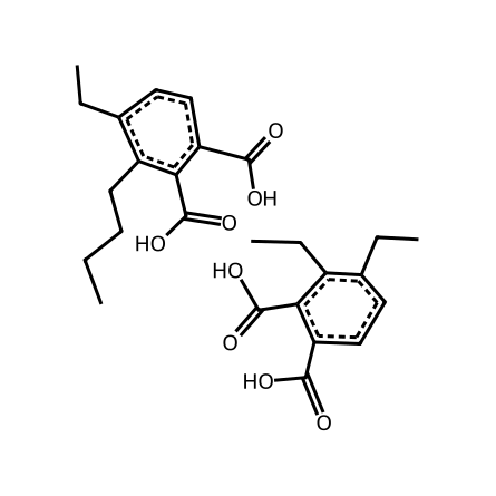 CCCCc1c(CC)ccc(C(=O)O)c1C(=O)O.CCc1ccc(C(=O)O)c(C(=O)O)c1CC